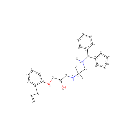 C=CCc1ccccc1OCC(O)CNC(C)(C)CN(C)C(c1ccccc1)c1ccccc1